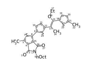 CCCCCCCCN1C(=O)c2c(C)sc(-c3ccc(/C(C)=C(\OCC)c4ccc(C)s4)s3)c2C1=O